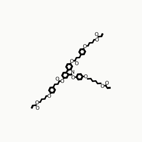 C=CC(=O)OCCCCCCOc1ccc(Oc2nc3cc(OC(=O)CCc4ccc(OCCCCOC(=O)C=C)cc4)ccc3c3ccc(OC(=O)CCc4ccc(OCCCCOC(=O)C=C)cc4)cc23)cc1